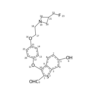 O=Cc1sc2cc(O)ccc2c1Oc1ccc(OCCN2CC(CF)C2)cc1